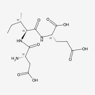 CC[C@H](C)[C@H](NC(=O)[C@@H](N)CC(=O)O)C(=O)N[C@@H](CCC(=O)O)C(=O)O